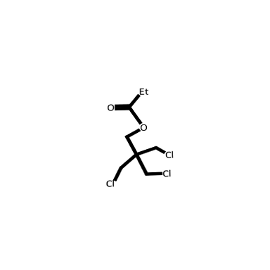 CCC(=O)OCC(CCl)(CCl)CCl